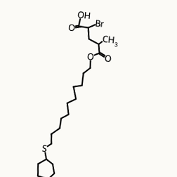 CC(CC(Br)C(=O)O)C(=O)OCCCCCCCCCCCSC1CCCCC1